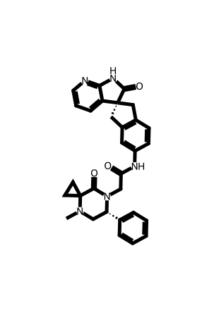 CN1C[C@@H](c2ccccc2)N(CC(=O)Nc2ccc3c(c2)C[C@@]2(C3)C(=O)Nc3ncccc32)C(=O)C12CC2